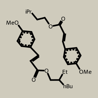 CCCCC(CC)COC(=O)C=Cc1ccc(OC)cc1.COc1ccc(C=CC(=O)OCCC(C)C)cc1